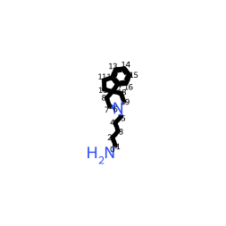 NCCCCCN1CCC2(CCc3ccccc32)CC1